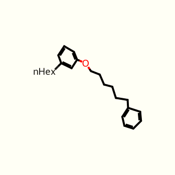 [CH2]CCCCCc1cccc(OCCCCCCc2ccccc2)c1